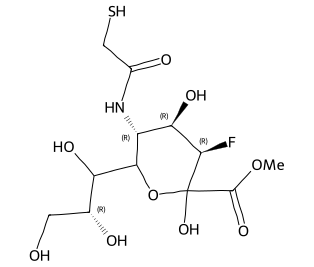 COC(=O)C1(O)OC(C(O)[C@H](O)CO)[C@H](NC(=O)CS)[C@@H](O)[C@H]1F